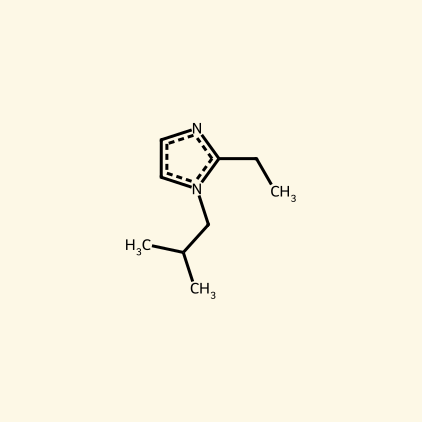 CCc1nccn1CC(C)C